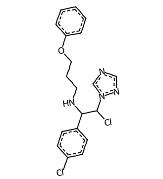 Clc1ccc(C(NCCCOc2ccccc2)C(Cl)n2cncn2)cc1